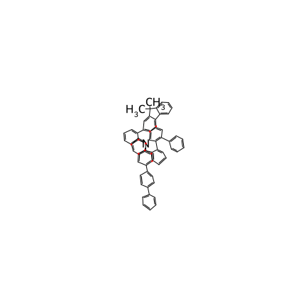 CC1(C)c2ccccc2-c2ccc(-c3ccccc3N(c3ccc(-c4ccc(-c5ccccc5)cc4)cc3)c3cccc(-c4ccccc4)c3-c3ccccc3-c3ccccc3)cc21